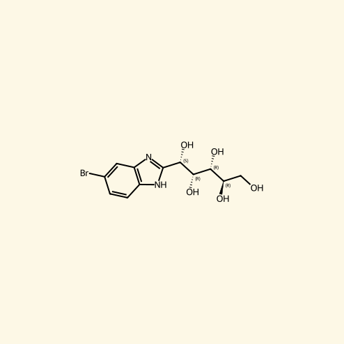 OC[C@@H](O)[C@@H](O)[C@H](O)[C@@H](O)c1nc2cc(Br)ccc2[nH]1